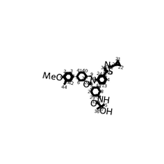 COc1ccc([C@H]2CC[C@H](CN(c3cccc(-c4cnc(C5CC5)s4)c3)C(=O)[C@H]3CC[C@H](NC(=O)C(C)(C)O)CC3)CC2)cc1C